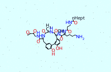 CCCCCCCC(=O)NCCC(=O)N[C@@H](CCCCN)C(=O)N(C)[C@@H]1C(=O)N[C@@H](C)C(=O)N[C@H](C(=O)NCC(=O)C2CO2)Cc2ccc(O)c(c2)-c2cc1ccc2O